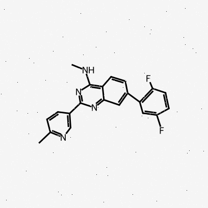 CNc1nc(-c2ccc(C)nc2)nc2cc(-c3cc(F)ccc3F)ccc12